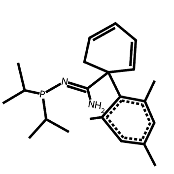 Cc1cc(C)c(C2(C(N)=NP(C(C)C)C(C)C)C=CC=CC2)c(C)c1